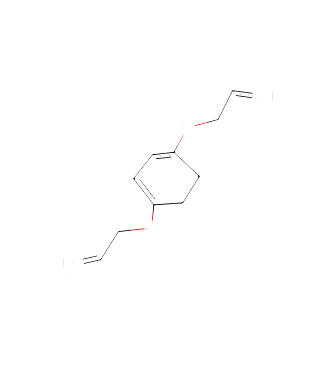 C=CCOC1=CC=C(OCC=C)CC1